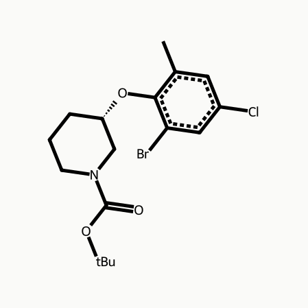 Cc1cc(Cl)cc(Br)c1O[C@H]1CCCN(C(=O)OC(C)(C)C)C1